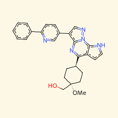 CO[C@]1(CO)CC[C@@H](c2nc3c(-c4ccc(-c5ccccc5)nc4)cnn3c3[nH]ccc32)CC1